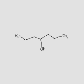 C[CH]CC(O)CCC